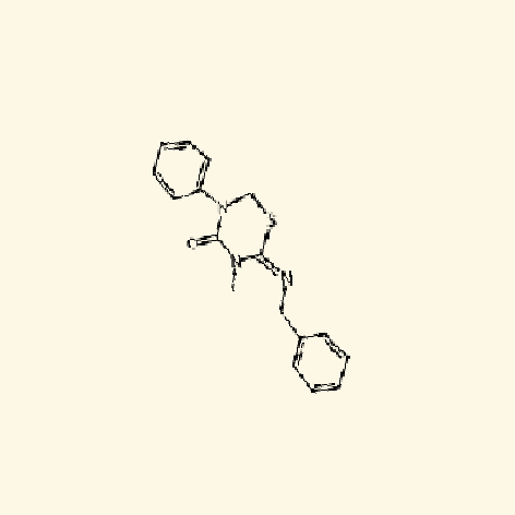 CN1C(=O)N(c2ccccc2)CSC1=NCc1ccccc1